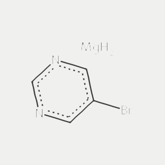 Brc1cncnc1.[MgH2]